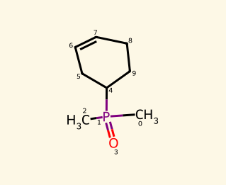 CP(C)(=O)C1CC=CCC1